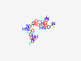 Cc1cc([C@@H](CCCCOc2ccc(-c3cnc4[nH]cc(C(=O)c5c(F)ccc(NS(=O)(=O)N6CC[C@@H](F)C6)c5F)c4c3)cc2)C(=O)N2C[C@H](O)C[C@H]2C(=O)N[C@@H](C)c2ccc(-c3scnc3C)cc2)on1